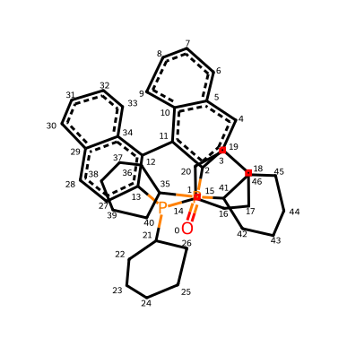 O=P(c1ccc2ccccc2c1-c1c(P(C2CCCCC2)C2CCCCC2)ccc2ccccc12)(C1CCCCC1)C1CCCCC1